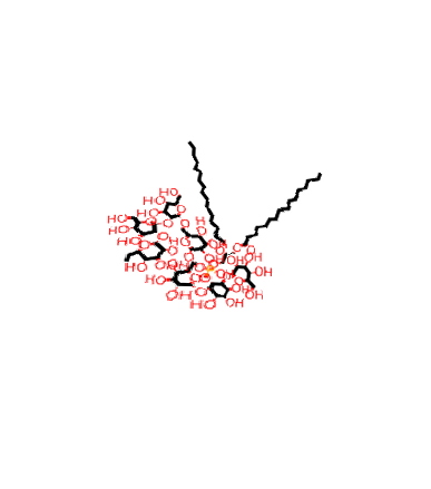 CCCCCCCCCCCCCCCCO[C@H](COC(=O)CCCCCCCCCCCCCCC)COP(=O)(O)O[C@@H]1C(O[C@H]2OC(CO)[C@@H](O)[C@H](O)C2O)C(O)[C@@H](O)[C@H](O)C1O[C@H]1OC(CO[C@H]2OC(CO[C@H]3OC(CO)[C@@H](O)C(O)[C@H]3O[C@H]3OC(CO)[C@@H](O)C(O)[C@H]3O[C@H]3OC(CC)[C@@H](O)C(O)[C@H]3O)[C@@H](O)C(O)[C@H]2O)[C@@H](O)C(O)[C@H]1O